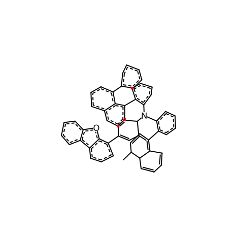 CC1C=CC(c2ccccc2N(c2ccccc2-c2cccc3cccc(-c4ccccc4)c23)C2C=CC(c3cccc4c3oc3ccccc34)=CC2C)=C2C=CC=CC21